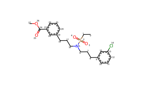 CCS(=O)(=O)N(CCCc1cccc(Cl)c1)CCCc1cccc(C(=O)OC)c1